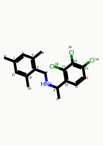 Cc1cc(C)c(CNC(C)c2ccc(Cl)c(Cl)c2Cl)c(C)c1